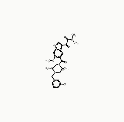 COc1cc2[nH]cc(C(=O)C(=O)N(C)C)c2cc1C(=O)N1C[C@@H](C)N(Cc2cccc(Cl)c2)C[C@@H]1C